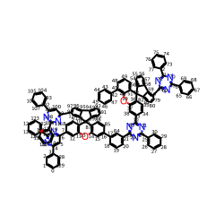 c1ccc(-c2cc(-c3ccc4c(c3)Oc3cc(-c5cccc(-c6nc(-c7ccccc7)nc(-c7ccc8c(c7)Oc7c(-c9ccccc9)cccc7C87c8ccccc8-c8c(-c9nc(-c%10ccccc%10)nc(-c%10ccccc%10)n9)cccc87)n6)c5)ccc3C43c4ccccc4-c4ccc(-c5cc(-c6ccccc6)nc(-c6ccccc6)n5)cc43)nc(-c3ccccc3)n2)cc1